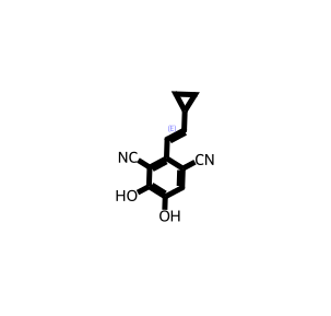 N#Cc1cc(O)c(O)c(C#N)c1/C=C/C1CC1